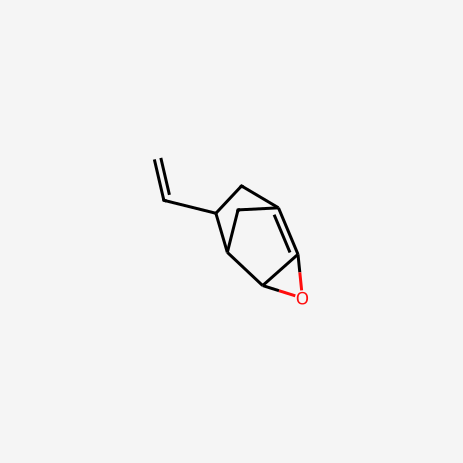 C=CC1CC2=C3OC3C1C2